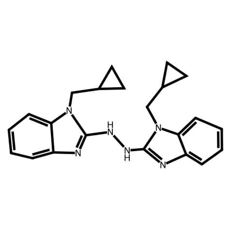 c1ccc2c(c1)nc(NNc1nc3ccccc3n1CC1CC1)n2CC1CC1